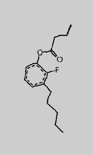 CCCCCc1cccc(OC(=O)CCC)c1F